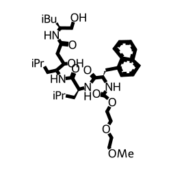 CCC(C)[C@@H](CO)NC(=O)CC(O)C(CC(C)C)NC(=O)[C@H](CC(C)C)NC(=O)[C@H](Cc1cccc2ccccc12)NC(=O)OCCOCCOC